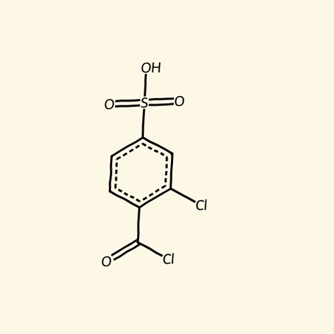 O=C(Cl)c1ccc(S(=O)(=O)O)cc1Cl